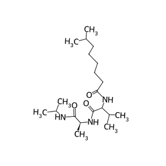 CC(C)CCCCCC(=O)NC(C(=O)N[C@@H](C)C(=O)NC(C)C)C(C)C